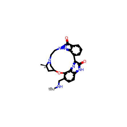 C[C@@H]1CC2CN1CCn1[nH]c3c(cccc3c1=O)-c1nc3c(c(CNC(C)(C)C)ccc3[nH]c1=O)O2